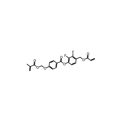 C=CC(=O)OCc1ccc(OC(=O)c2ccc(OCOC(=O)C(=C)C)cc2)c(F)c1F